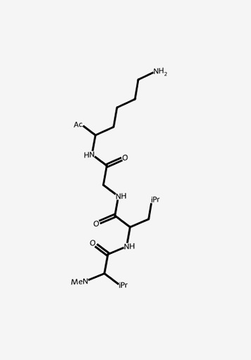 CNC(C(=O)NC(CC(C)C)C(=O)NCC(=O)NC(CCCCN)C(C)=O)C(C)C